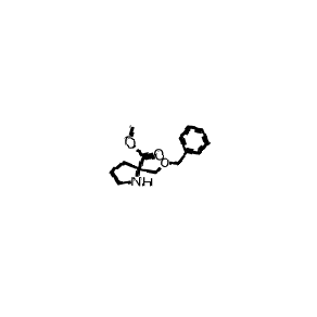 COC(=O)C1(COCc2ccccc2)CCCN1